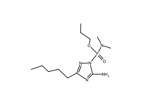 CCCCCc1nc(N)n(P(=O)(OCCC)N(C)C)n1